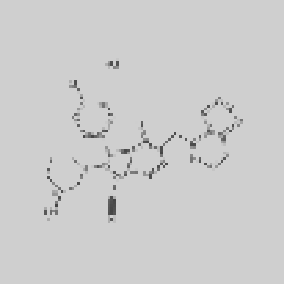 Cl.N#Cc1c(N2CCC[C@H](N)C2)n(-c2ccc(Cl)cc2)c2c(=O)n(Cc3nccc4ccccc34)cnc12